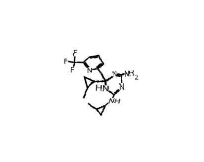 CC1CC1NC1=NC(N)=NC(c2cccc(C(F)(F)F)n2)(C2CC2C)N1